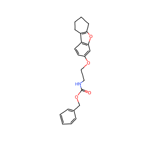 O=C(NCCOc1ccc2c3c(oc2c1)CCCC3)OCc1ccccc1